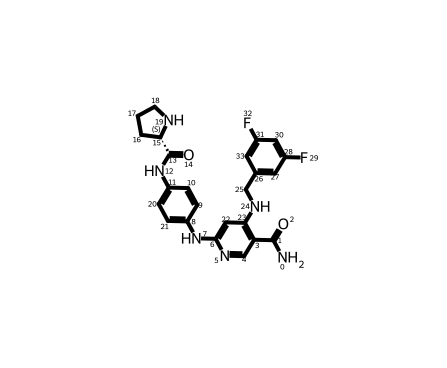 NC(=O)c1cnc(Nc2ccc(NC(=O)[C@@H]3CCCN3)cc2)cc1NCc1cc(F)cc(F)c1